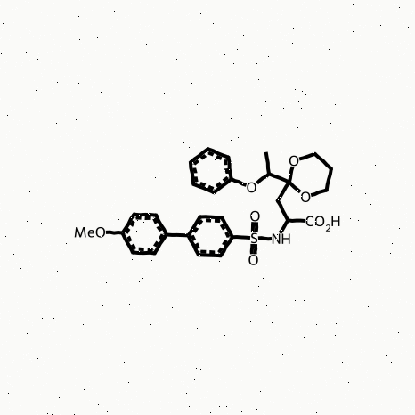 COc1ccc(-c2ccc(S(=O)(=O)NC(CC3(C(C)Oc4ccccc4)OCCCO3)C(=O)O)cc2)cc1